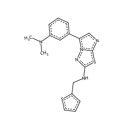 CN(C)c1cccc(-c2cnc3sc(NCc4cccs4)nn23)c1